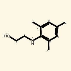 Cc1cc(C)c(NCCO)c(C)c1